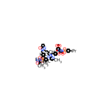 CCCc1cc(Cn2c(C(C)C(C)CCC3=NC4(CCCC4)C(=O)N3Cc3ccc(-c4ccccc4S(=O)(=O)Nc4noc(C)c4C)c(COCC)c3)nc3c(C)cc(C)nc32)ccc1OC(C(=O)NS(=O)(=O)c1ccc(C(C)C)cc1)c1ccc2c(c1)OCO2